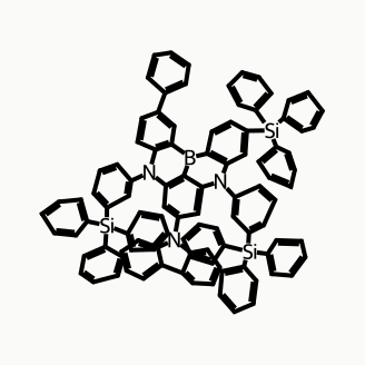 c1ccc(-c2ccc3c(c2)B2c4ccc([Si](c5ccccc5)(c5ccccc5)c5ccccc5)cc4N(c4cccc([Si](c5ccccc5)(c5ccccc5)c5ccccc5)c4)c4cc(-n5c6ccccc6c6ccccc65)cc(c42)N3c2cccc([Si](c3ccccc3)(c3ccccc3)c3ccccc3)c2)cc1